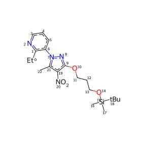 CCc1ncccc1-n1nc(OCCCO[Si](C)(C)C(C)(C)C)c([N+](=O)[O-])c1C